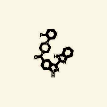 O=C(c1ccc2[nH]nc(-c3nc4ccccc4[nH]3)c2c1)N1CCN(c2ccccc2F)CC1